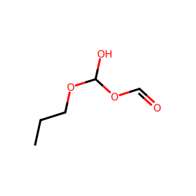 CCCOC(O)OC=O